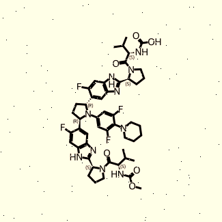 COC(=O)N[C@H](C(=O)N1CCC[C@H]1c1nc2cc([C@H]3CC[C@H](c4cc5nc([C@@H]6CCCN6C(=O)[C@@H](NC(=O)O)C(C)C)[nH]c5cc4F)N3c3cc(F)c(N4CCCCC4)c(F)c3)c(F)cc2[nH]1)C(C)C